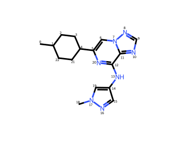 CC1CCC(c2cn3ncnc3c(Nc3cnn(C)c3)n2)CC1